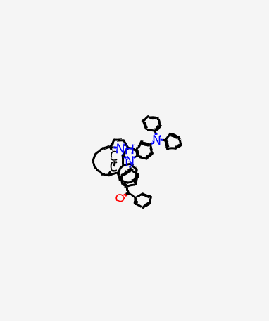 O=C(c1ccccc1)c1ccc(N2c3ccc(N(c4ccccc4)c4ccccc4)cc3C3CCC45CCCCCC(CCC4)C4CCCCCC4C32N5)cc1